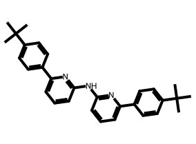 CC(C)(C)c1ccc(-c2cccc(Nc3cccc(-c4ccc(C(C)(C)C)cc4)n3)n2)cc1